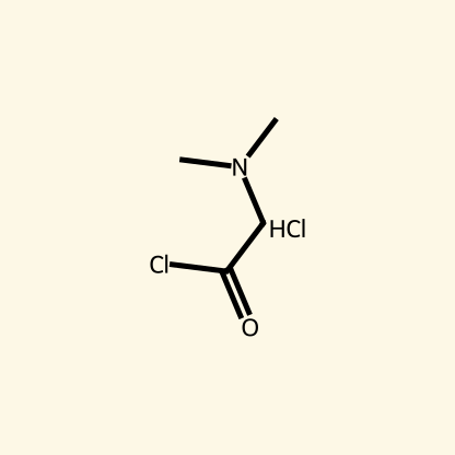 CN(C)CC(=O)Cl.Cl